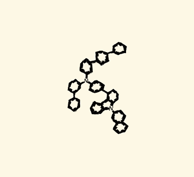 c1ccc(-c2ccc(-c3cccc(N(c4ccc(-c5cccc6c5c5ccccc5n6-c5ccc6ccccc6c5)cc4)c4cccc(-c5ccccc5)c4)c3)cc2)cc1